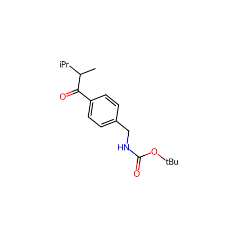 CC(C)C(C)C(=O)c1ccc(CNC(=O)OC(C)(C)C)cc1